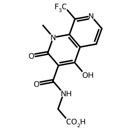 Cn1c(=O)c(C(=O)NCC(=O)O)c(O)c2ccnc(C(F)(F)F)c21